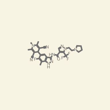 CC1=C(C#N)C(c2cc3c(NC(=O)c4cnn(CCN5CCCC5)c4C(F)(F)F)n[nH]c3c(C)c2F)C(C#N)=C(C)N1C